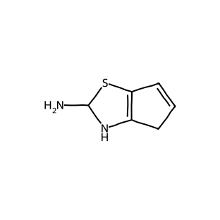 NC1NC2=C(C=CC2)S1